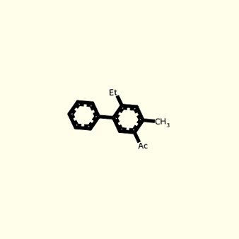 CCc1cc(C)c(C(C)=O)cc1-c1ccccc1